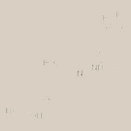 Cc1ccc(NC(=O)C2(c3ccc4c(c3)OC(F)(F)O4)CC2)nc1-c1ccc(OCC(O)CO)cc1